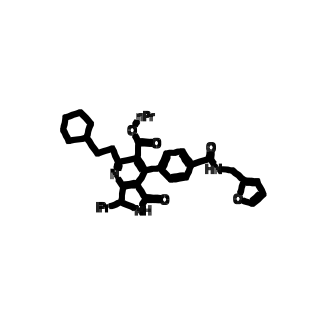 CCCOC(=O)c1c(CCC2CCCCC2)nc2c(c1-c1ccc(C(=O)NCc3ccco3)cc1)C(=O)NC2C(C)C